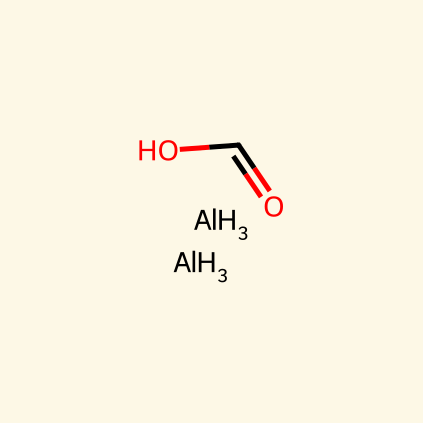 O=CO.[AlH3].[AlH3]